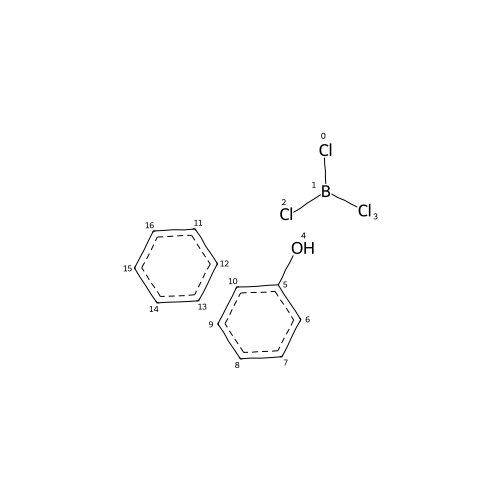 ClB(Cl)Cl.Oc1ccccc1.c1ccccc1